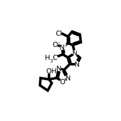 Cc1c2c(-c3noc(C4(O)CCCC4)n3)ncn2c2cccc(Cl)c2[n+]1[O-]